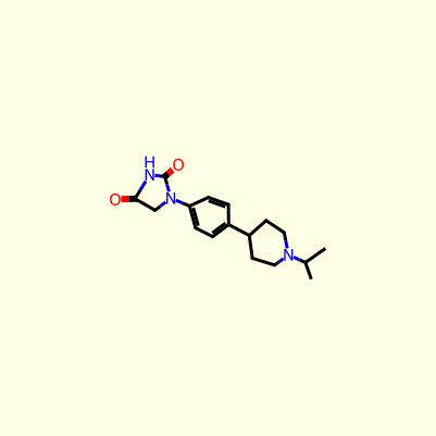 CC(C)N1CCC(c2ccc(N3CC(=O)NC3=O)cc2)CC1